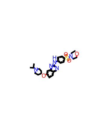 CC(C)N1CCC(Oc2ccc3cnc(Nc4ccc(S(=O)(=O)N5CCOCC5)cc4)nc3c2)CC1